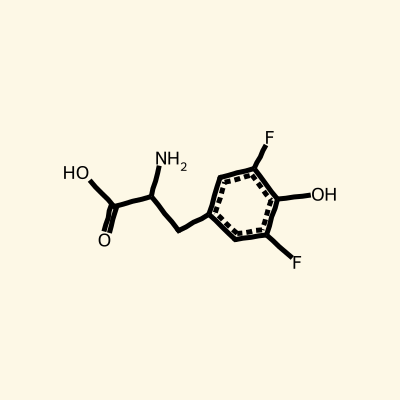 NC(Cc1cc(F)c(O)c(F)c1)C(=O)O